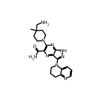 CC1(CN)CCN(c2nc3[nH]nc(N4CCCc5ncccc54)c3nc2C(N)=O)CC1